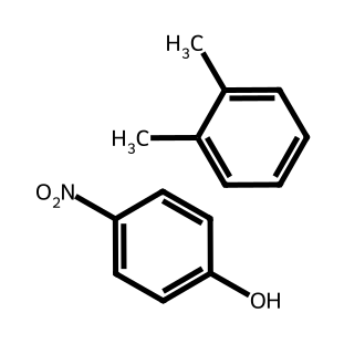 Cc1ccccc1C.O=[N+]([O-])c1ccc(O)cc1